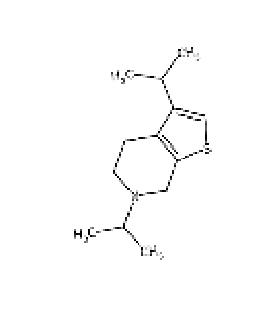 CC(C)c1csc2c1CCN(C(C)C)C2